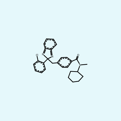 CN(C(=O)c1ccc(CC2(c3ccccc3Cl)N=c3ccccc3=N2)cc1)C1CCCCC1